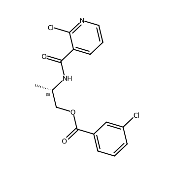 C[C@@H](COC(=O)c1cccc(Cl)c1)NC(=O)c1cccnc1Cl